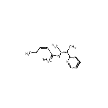 C=C(/C=C\CC)S/C(C)=C(/C)c1ccccn1